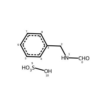 O=CNCc1ccccc1.O=S(=O)(O)O